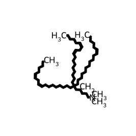 C=C(CCCN(C)C)CC(CCCCCCCC/C=C\C/C=C\CCCCC)(CCCCCCCC/C=C\C/C=C\CCCCC)CCCCCCCCCC/C=C\CCCCC